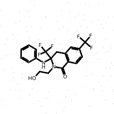 O=C1c2ccc(C(F)(F)F)cc2CC(Nc2ccccc2)(C(F)(F)F)N1CCO